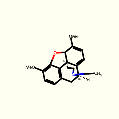 COC1=CC=C2[C@H]3Cc4ccc(OC)c5c4[C@@]2(CCN3C)C1O5